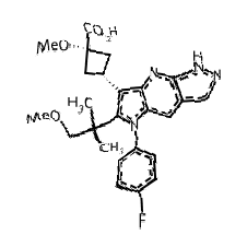 COCC(C)(C)c1c([C@H]2C[C@](OC)(C(=O)O)C2)c2nc3[nH]ncc3cc2n1-c1ccc(F)cc1